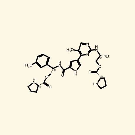 CC[C@H](COC(=O)[C@@H]1CCCN1)Nc1ncc(C)c(-c2c[nH]c(C(=O)N[C@H](COC(=O)[C@@H]3CCCN3)c3cccc(C)c3)c2)n1